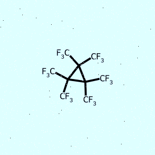 FC(F)(F)C1(C(F)(F)F)C(C(F)(F)F)(C(F)(F)F)C1(C(F)(F)F)C(F)(F)F